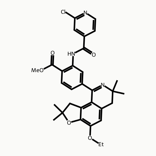 CCOc1cc2c(c3c1OC(C)(C)C3)C(c1ccc(C(=O)OC)c(NC(=O)c3ccnc(Cl)c3)c1)=NC(C)(C)C2